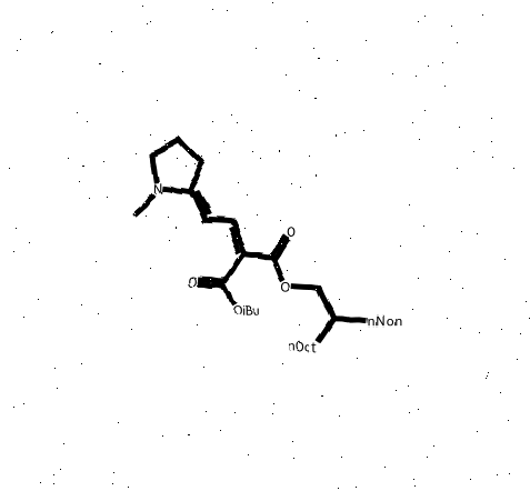 CCCCCCCCCC(CCCCCCCC)COC(=O)/C(=C/C=C1\CCCN1C)C(=O)OCC(C)C